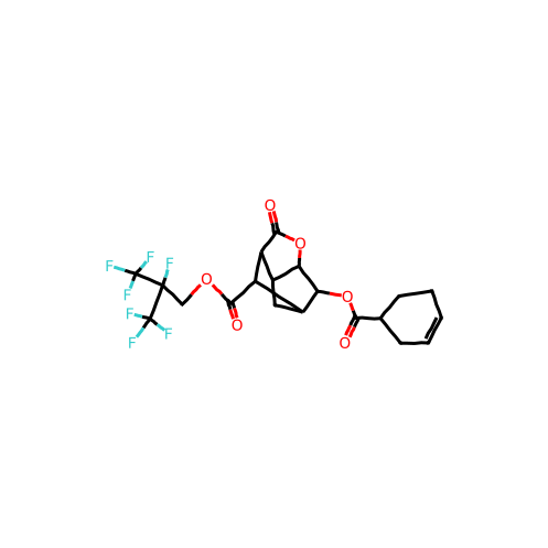 O=C(OC1C2CC3C1OC(=O)C3C2C(=O)OCC(F)(C(F)(F)F)C(F)(F)F)C1CC=CCC1